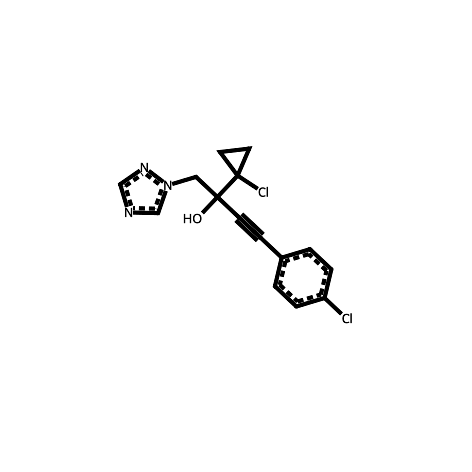 OC(C#Cc1ccc(Cl)cc1)(Cn1cncn1)C1(Cl)CC1